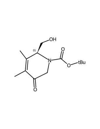 CC1=C(C)[C@@H](CO)N(C(=O)OC(C)(C)C)CC1=O